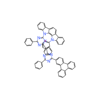 c1ccc(-c2nc(-c3cccc(-n4c5ccccc5c5ccc6c7ccccc7n(-c7nc(-c8ccccc8)nc(-c8ccccc8)n7)c6c54)c3)nc(-c3ccc4c5ccccc5c5ccccc5c4c3)n2)cc1